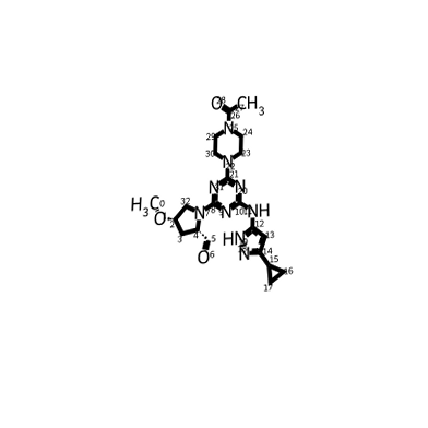 CO[C@H]1C[C@@H](C=O)N(c2nc(Nc3cc(C4CC4)n[nH]3)nc(N3CCN(C(C)=O)CC3)n2)C1